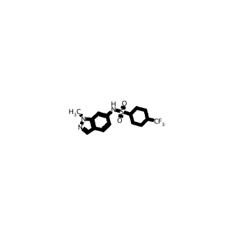 Cn1ncc2ccc(NS(=O)(=O)C3CCC(C(F)(F)F)CC3)cc21